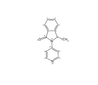 CC1c2ccccc2C(=O)N1c1ccncc1